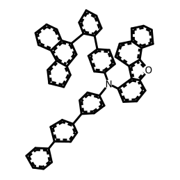 c1ccc(-c2ccc(-c3ccc(N(c4ccc(-c5ccccc5-c5cc6ccccc6c6ccccc56)cc4)c4cccc5oc6c7ccccc7ccc6c45)cc3)cc2)cc1